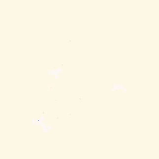 NCCCc1cc2c(-c3cccc(C(F)(F)F)c3)c[nH]c(=O)c2c2cc(-c3cn[nH]c3)ccc12